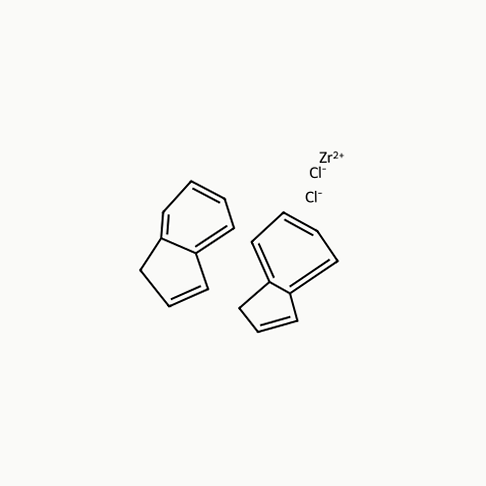 C1=Cc2ccccc2C1.C1=Cc2ccccc2C1.[Cl-].[Cl-].[Zr+2]